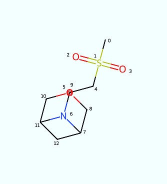 CS(=O)(=O)CCN1C2COCC1C2